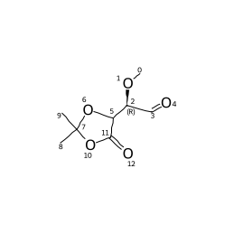 CO[C@@H](C=O)C1OC(C)(C)OC1=O